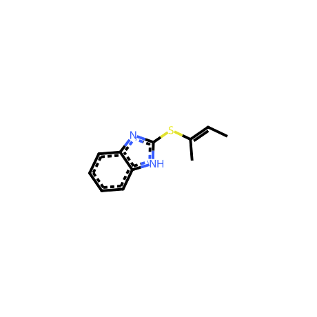 C/C=C(\C)Sc1nc2ccccc2[nH]1